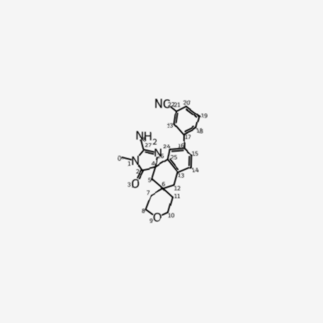 CN1C(=O)C2(CC3(CCOCC3)Cc3ccc(-c4cccc(C#N)c4)cc32)N=C1N